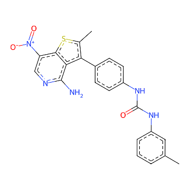 Cc1cccc(NC(=O)Nc2ccc(-c3c(C)sc4c([N+](=O)[O-])cnc(N)c34)cc2)c1